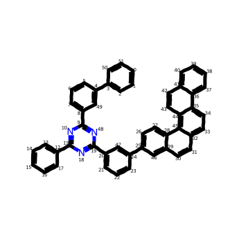 c1ccc(-c2cccc(-c3nc(-c4ccccc4)nc(-c4cccc(-c5ccc6c(ccc7ccc8c9ccccc9ccc8c76)c5)c4)n3)c2)cc1